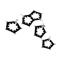 c1cc2sccc2s1.c1cc[nH]c1.c1ccsc1.c1ccsc1